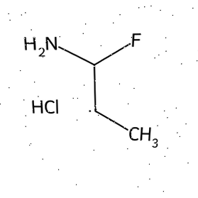 C[CH]C(N)F.Cl